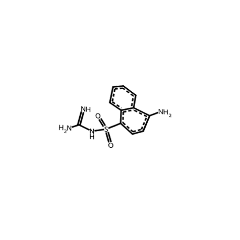 N=C(N)NS(=O)(=O)c1ccc(N)c2ccccc12